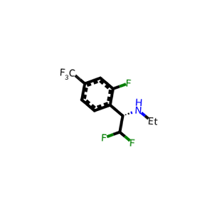 CCN[C@@H](c1ccc(C(F)(F)F)cc1F)C(F)F